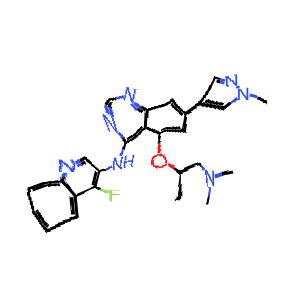 C[C@H](CN(C)C)Oc1cc(-c2cnn(C)c2)cc2ncnc(Nc3cnc4ccccc4c3F)c12